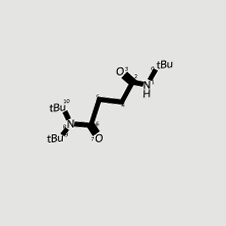 CC(C)(C)NC(=O)CCC(=O)N(C(C)(C)C)C(C)(C)C